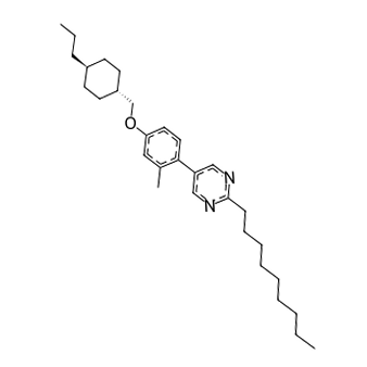 CCCCCCCCCc1ncc(-c2ccc(OC[C@H]3CC[C@H](CCC)CC3)cc2C)cn1